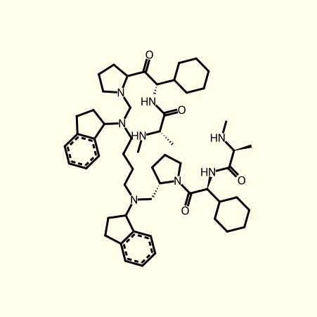 CN[C@@H](C)C(=O)N[C@H](C(=O)C1CCCN1CN(CCCCN(C[C@@H]1CCCN1C(=O)[C@@H](NC(=O)[C@H](C)NC)C1CCCCC1)C1CCc2ccccc21)C1CCc2ccccc21)C1CCCCC1